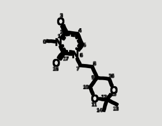 Cn1c(=O)ccn(CCC2COC(C)(C)OC2)c1=O